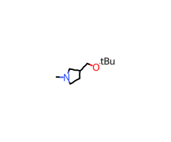 CN1CCC(COC(C)(C)C)C1